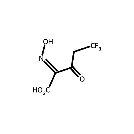 O=C(O)C(=NO)C(=O)CC(F)(F)F